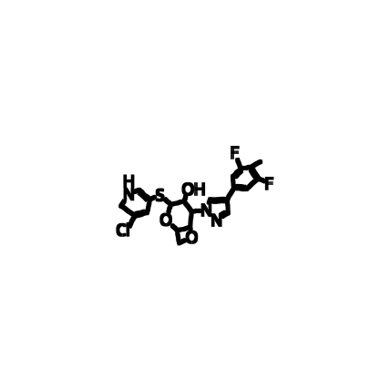 Cc1c(F)cc(-c2cnn(C3C(O)C(SC4=CNCC(Cl)=C4)OC4COC43)c2)cc1F